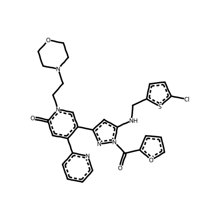 O=C(c1ccco1)n1nc(-c2cn(CCN3CCOCC3)c(=O)cc2-c2ccccn2)cc1NCc1ccc(Cl)s1